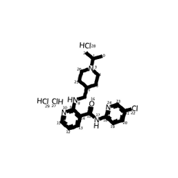 CC(C)N1CCC(CNc2ncccc2C(=O)Nc2ccc(Cl)cn2)CC1.Cl.Cl.Cl